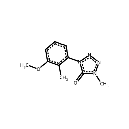 COc1cccc(-n2nnn(C)c2=O)c1C